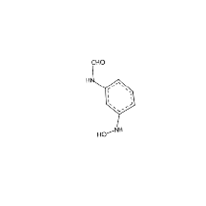 O=CNc1cccc(NO)c1